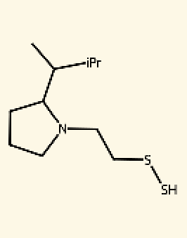 CC(C)C(C)C1CCCN1CCSS